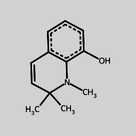 CN1c2c(O)cccc2C=CC1(C)C